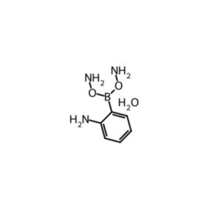 NOB(ON)c1ccccc1N.O